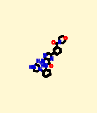 Nc1ncc(-c2cccc(C(=O)N3CCOCC3)c2)nc1C(=O)Nc1ccccc1N1CCNCC1